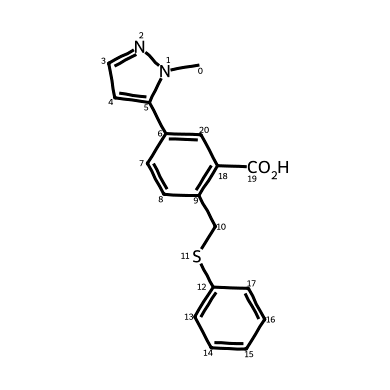 Cn1nccc1-c1ccc(CSc2ccccc2)c(C(=O)O)c1